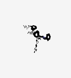 C[Si](C)(C)CCOCn1nc(/C=C/c2ccccc2)c2ccc(Nc3cccc(N)c3)cc21